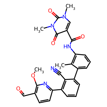 COc1nc(-c2cccc(-c3cccc(NC(=O)c4cn(C)c(=O)n(C)c4=O)c3C)c2C#N)ccc1C=O